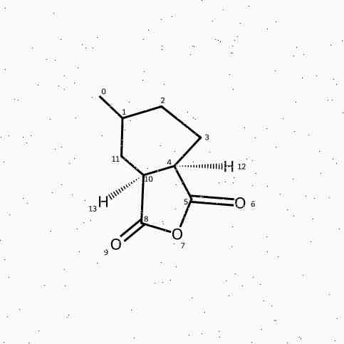 CC1CC[C@H]2C(=O)OC(=O)[C@H]2C1